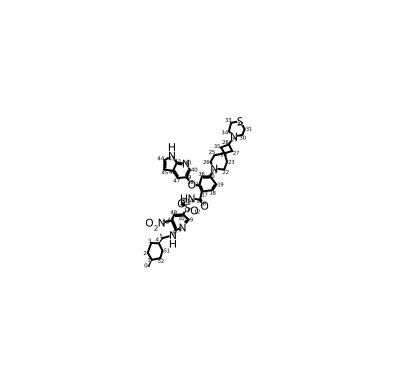 C[C@H]1CC[C@@H](CNc2ncc(S(=O)(=O)NC(=O)c3ccc(N4CCC5(CC4)CC(N4CCSCC4)C5)cc3Oc3cnc4[nH]ccc4c3)cc2[N+](=O)[O-])CC1